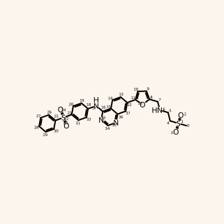 CS(=O)(=O)CCNCc1ccc(-c2ccc3c(Nc4ccc(S(=O)(=O)c5ccccc5)cc4)ncnc3c2)o1